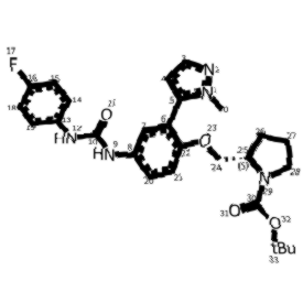 Cn1nccc1-c1cc(NC(=O)Nc2ccc(F)cc2)ccc1OC[C@@H]1CCCN1C(=O)OC(C)(C)C